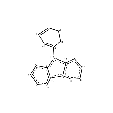 C1=CCCC(n2c3ccccc3c3ccccc32)=C1